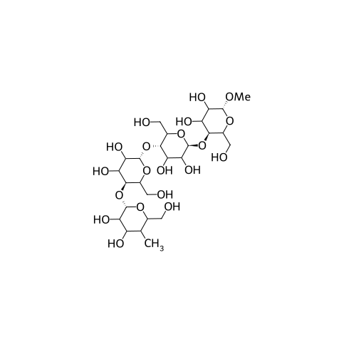 CO[C@@H]1OC(CO)[C@@H](O[C@@H]2OC(CO)[C@@H](O[C@@H]3OC(CO)[C@@H](O[C@@H]4OC(CO)C(C)C(O)C4O)C(O)C3O)C(O)C2O)C(O)C1O